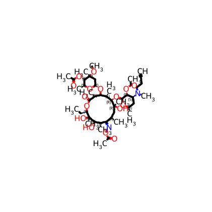 C#CCCN(C)[C@H]1C[C@@H](C)OC(O[C@@H]2[C@@H](C)C(O[C@H]3C[C@@](C)(OC)[C@@H](OC(C)=O)[C@H](C)O3)[C@@H](C)C(=O)O[C@H](CC)[C@@](C)(O)[C@H](O)[C@@H](C)C(=NOC(C)=O)[C@H](C)C[C@@]2(C)O)[C@@H]1OC(C)=O